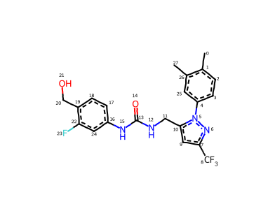 Cc1ccc(-n2nc(C(F)(F)F)cc2CNC(=O)Nc2ccc(CO)c(F)c2)cc1C